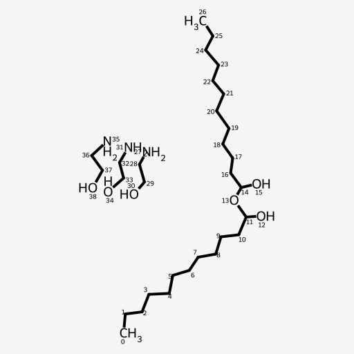 CCCCCCCCCCCC(O)OC(O)CCCCCCCCCCC.NCCO.NCCO.NCCO